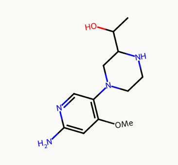 COc1cc(N)ncc1N1CCNC(C(C)O)C1